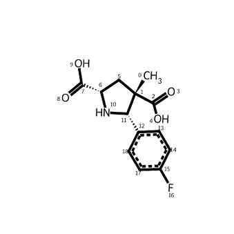 C[C@]1(C(=O)O)C[C@@H](C(=O)O)N[C@H]1c1ccc(F)cc1